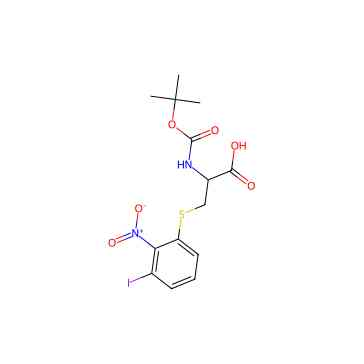 CC(C)(C)OC(=O)NC(CSc1cccc(I)c1[N+](=O)[O-])C(=O)O